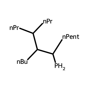 CCCCCC(P)C(CCCC)C(CCC)CCC